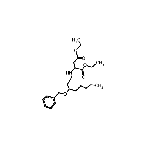 CCCCCC(CCNC(CC(=O)OCC)C(=O)OCC)OCc1ccccc1